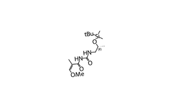 COC=C(C)C(=O)NC(=O)NC[C@@H](C)O[Si](C)(C)C(C)(C)C